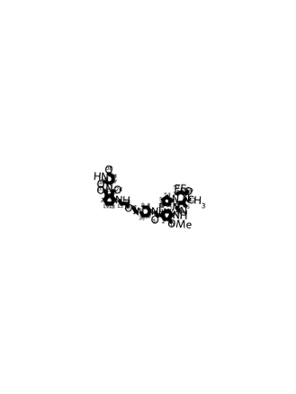 COc1cc(C(=O)NC2CCN(CCOCCNc3cccc4c3C(=O)N(C3CCC(=O)NC3=O)C4=O)CC2)c(F)cc1Nc1ncc2c(n1)N(C1CCCC1)CC(F)(F)C(=O)N2C